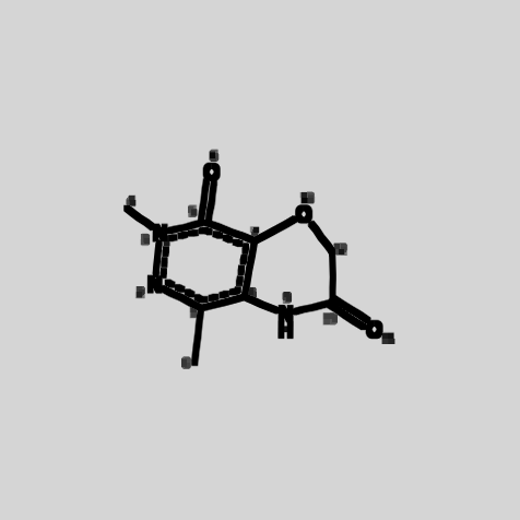 Cc1nn(C)c(=O)c2c1NC(=O)CO2